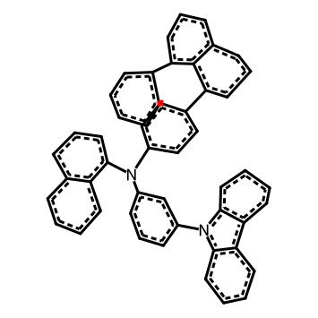 c1ccc(-c2cccc3cccc(-c4ccc(N(c5cccc(-n6c7ccccc7c7ccccc76)c5)c5cccc6ccccc56)cc4)c23)cc1